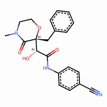 CN1CCO[C@](Cc2ccccc2)([C@@H](O)C(=O)Nc2ccc(C#N)cc2)C1=O